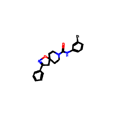 CCc1cccc(NC(=O)N2CCC3(CC2)CC(c2ccccc2)=NO3)c1